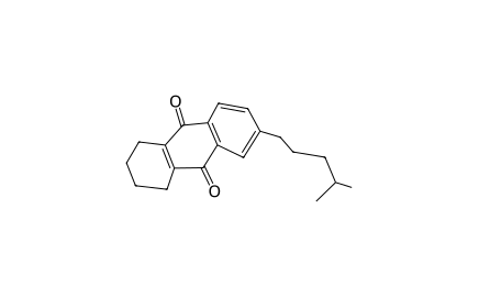 CC(C)CCCc1ccc2c(c1)C(=O)C1=C(CCCC1)C2=O